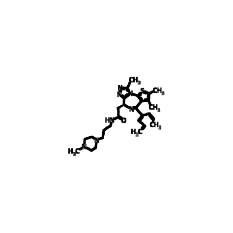 C=C/C=C(\C=C/C)C1=N[C@@H](CC(=O)NCCCN2CCN(C)CC2)c2nnc(C)n2-c2sc(C)c(C)c21